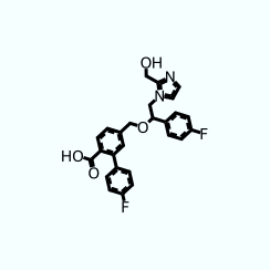 O=C(O)c1ccc(COC(Cn2ccnc2CO)c2ccc(F)cc2)cc1-c1ccc(F)cc1